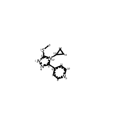 CSc1nnc(-c2ccncc2)n1C1CC1